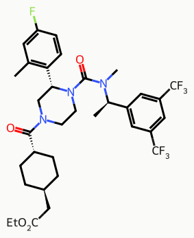 CCOC(=O)C[C@H]1CC[C@H](C(=O)N2CCN(C(=O)N(C)[C@H](C)c3cc(C(F)(F)F)cc(C(F)(F)F)c3)[C@@H](c3ccc(F)cc3C)C2)CC1